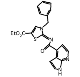 CCOC(=O)c1cn(Cc2ccccc2)/c(=N/C(=O)c2ccnc3[nH]ccc23)s1